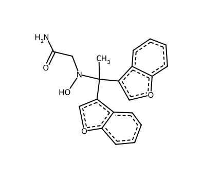 CC(c1coc2ccccc12)(c1coc2ccccc12)N(O)CC(N)=O